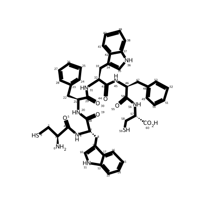 N[C@@H](CS)C(=O)N[C@@H](Cc1c[nH]c2ccccc12)C(=O)N[C@@H](Cc1ccccc1)C(=O)N[C@@H](Cc1c[nH]c2ccccc12)C(=O)N[C@@H](Cc1ccccc1)C(=O)N[C@@H](CS)C(=O)O